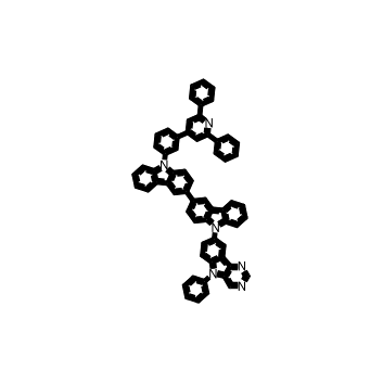 c1ccc(-c2cc(-c3cccc(-n4c5ccccc5c5cc(-c6ccc7c(c6)c6ccccc6n7-c6ccc7c(c6)c6ncncc6n7-c6ccccc6)ccc54)c3)cc(-c3ccccc3)n2)cc1